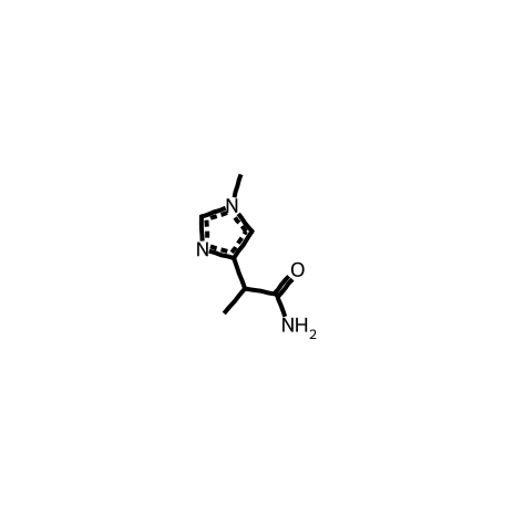 CC(C(N)=O)c1cn(C)cn1